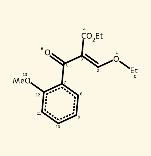 CCOC=C(C(=O)OCC)C(=O)c1ccccc1OC